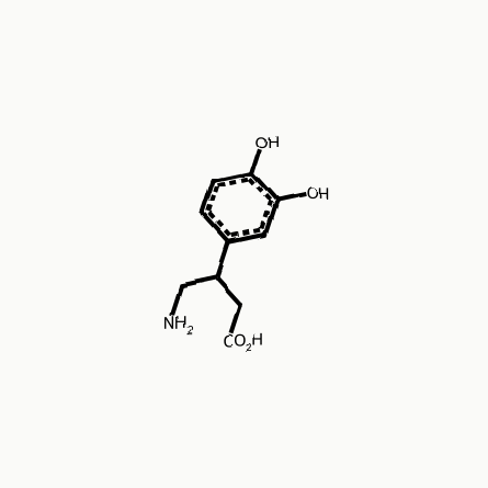 NCC(CC(=O)O)c1ccc(O)c(O)c1